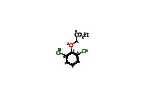 CCOC(=O)COc1c(Cl)cccc1Cl